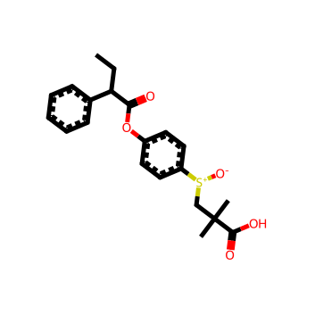 CCC(C(=O)Oc1ccc([S+]([O-])CC(C)(C)C(=O)O)cc1)c1ccccc1